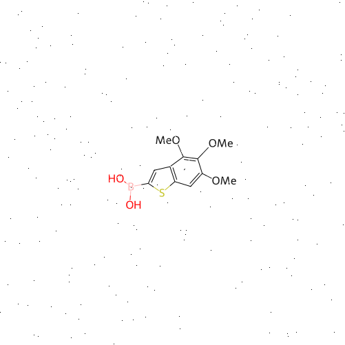 COc1cc2sc(B(O)O)cc2c(OC)c1OC